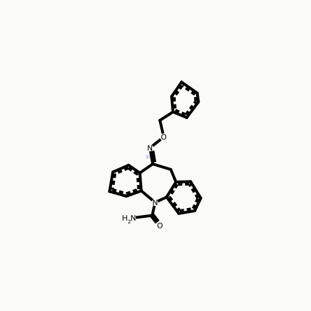 NC(=O)N1c2ccccc2C/C(=N\OCc2ccccc2)c2ccccc21